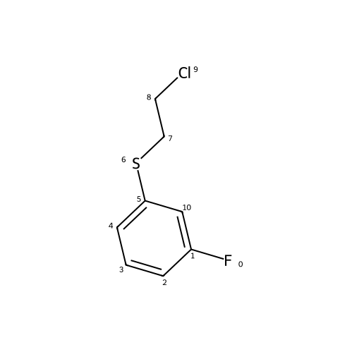 Fc1cccc(SCCCl)c1